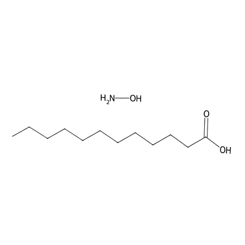 CCCCCCCCCCCC(=O)O.NO